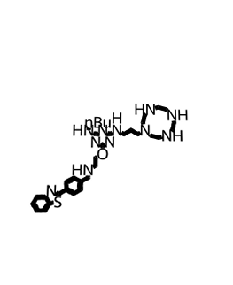 CCCCNc1nc(NCCCN2CCNCCNCCNCC2)nc(OCCNCc2ccc(-c3nc4ccccc4s3)cc2)n1